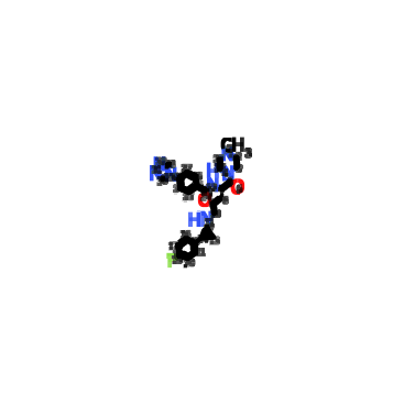 CN1CCN(C(=O)[C@H](CCCN[C@@H]2C[C@H]2c2ccc(F)cc2)NC(=O)c2ccc(-n3cnnc3)cc2)CC1